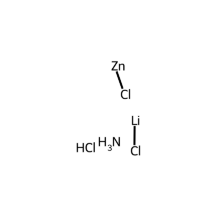 Cl.N.[Cl][Zn].[Li][Cl]